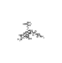 N=C(N)NCCC[C@H](NC(=O)CNC(=O)CNC(=O)CN)C(=O)N[C@@H](CC(=O)O)C(=O)N[C@@H](CC(N)=O)C(=O)O